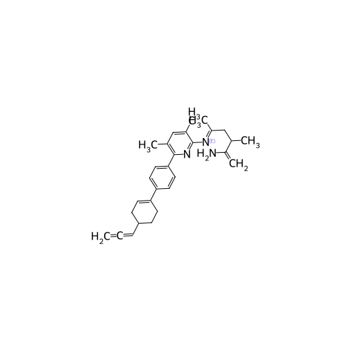 C=C=CC1CC=C(c2ccc(-c3nc(/N=C(\C)CC(C)C(=C)N)c(C)cc3C)cc2)CC1